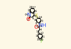 Cn1c(=O)cc(Sc2ccc(NC(=O)CCc3ccc(F)cc3)cc2)c2ccccc21